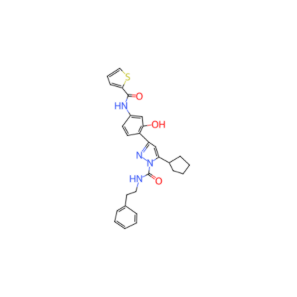 O=C(Nc1ccc(-c2cc(C3CCCC3)n(C(=O)NCCc3ccccc3)n2)c(O)c1)c1cccs1